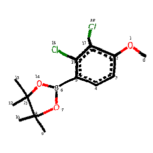 COc1ccc(B2OC(C)(C)C(C)(C)O2)c(Cl)c1Cl